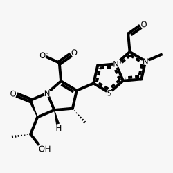 C[C@@H](O)[C@H]1C(=O)N2C(C(=O)[O-])=C(c3c[n+]4c(C=O)n(C)cc4s3)[C@H](C)[C@H]12